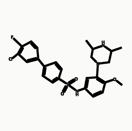 COc1ccc(NS(=O)(=O)c2ccc(-c3ccc(F)c(Cl)c3)cc2)cc1N1CC(C)NC(C)C1